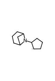 [CH]1CCCC1N1C2CCCC1C2